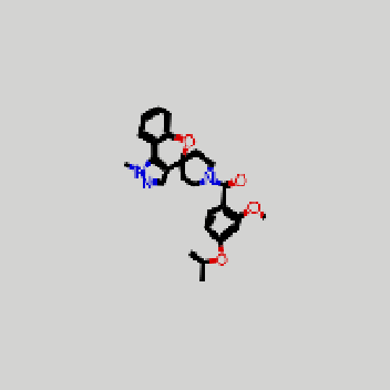 COc1cc(OC(C)C)ccc1C(=O)N1CCC2(CC1)Oc1ccccc1-c1c2cnn1C